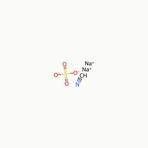 C#N.O=S(=O)([O-])[O-].[Na+].[Na+]